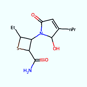 CCCC1=CC(=O)N(C2C(CC)SC2C(N)=O)C1O